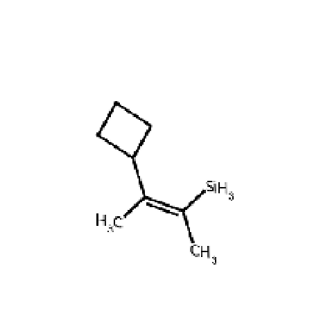 CC([SiH3])=C(C)C1CCC1